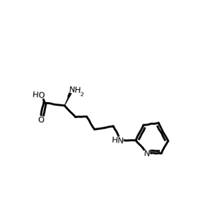 N[C@@H](CCCCNc1ccccn1)C(=O)O